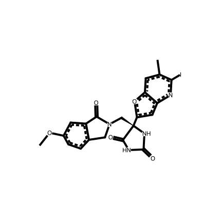 COc1ccc2c(c1)C(=O)N(C[C@@]1(c3cc4nc(I)c(C)cc4o3)NC(=O)NC1=O)C2